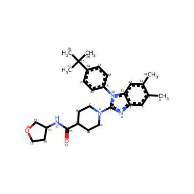 Cc1cc2nc(N3CCC(C(=O)NC4CCOC4)CC3)n(-c3ccc(C(C)(C)C)cc3)c2cc1C